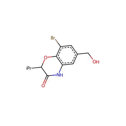 CC(C)C1Oc2c(Br)cc(CO)cc2NC1=O